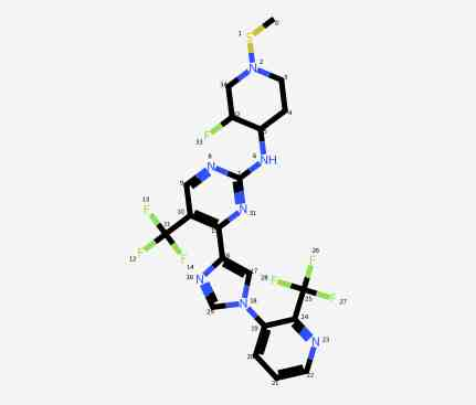 CSN1CCC(Nc2ncc(C(F)(F)F)c(-c3cn(-c4cccnc4C(F)(F)F)cn3)n2)C(F)C1